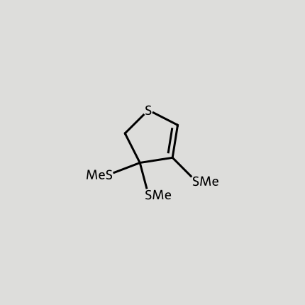 CSC1=CSCC1(SC)SC